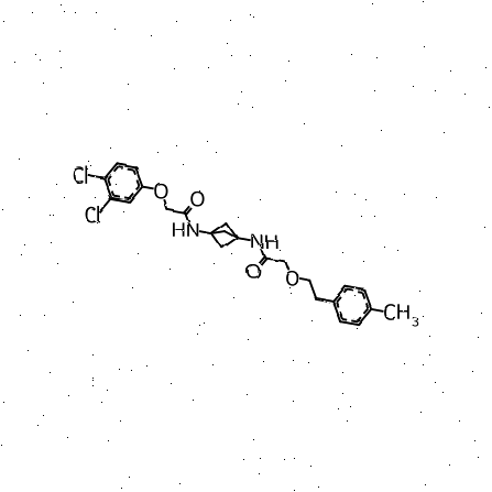 Cc1ccc(CCOCC(=O)NC23CC(NC(=O)COc4ccc(Cl)c(Cl)c4)(C2)C3)cc1